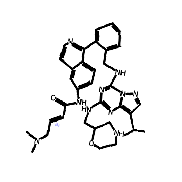 CC(C)c1cnn2c(NCc3ccccc3-c3nccc4cc(NC(=O)/C=C/CN(C)C)ccc34)nc(NCC3CNCCO3)nc12